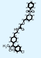 CN(C)C(c1ccc(Cl)cc1)C1CCC(CCNC(=O)COCC2CCCN(S(=O)(=O)c3ccccc3)C2)CC1